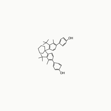 Cc1c(-c2ccc(O)cc2)ccc(C2(c3ccc(-c4ccc(O)cc4)c(C)c3C(C)(C)C)CCCCC2)c1C(C)(C)C